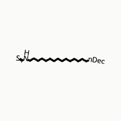 CCCCCCCCCCCCCCCCCCCCCCCCCN[C]=S